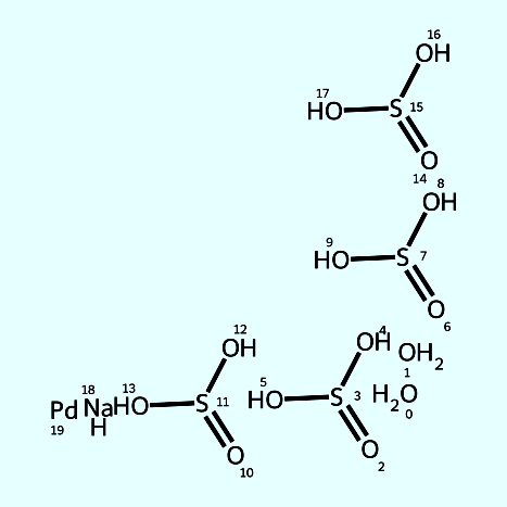 O.O.O=S(O)O.O=S(O)O.O=S(O)O.O=S(O)O.[NaH].[Pd]